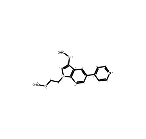 O=CNc1nn(CCOC=O)c2ncc(-c3ccncc3)cc12